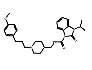 COc1ccc(CCCN2CCC(CNC(=O)n3c(=O)n(C(C)C)c4ccccc43)CC2)cc1